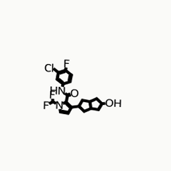 O=C(Nc1ccc(F)c(Cl)c1)c1c(C2CC3CC(O)CC3C2)ccn1C(F)F